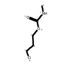 CNC(=O)OCCCCl